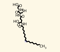 CCCCCCCC/C=C\CCCCCCCC(=O)NC(CCC(=O)NC(CS)C(=O)NCC(=O)O)C(=O)O